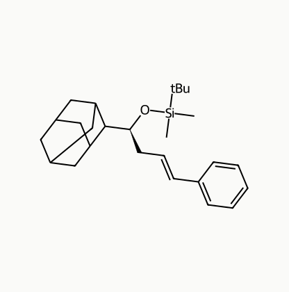 CC(C)(C)[Si](C)(C)O[C@@H](C/C=C/c1ccccc1)C1C2CC3CC(C2)CC1C3